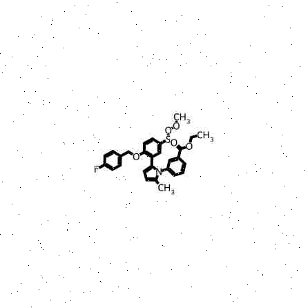 CCOC(=O)c1cccc(-n2c(C)ccc2-c2cc(SOOC)ccc2OCc2ccc(F)cc2)c1